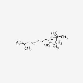 C=C(C)COCCC[Si](C)(O)O[Si](C)(C)C